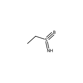 B#S(=N)CC